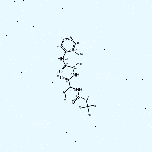 CCC(NC(=O)OC(C)(C)C)C(=O)N[C@H]1CCc2ccccc2NC1=O